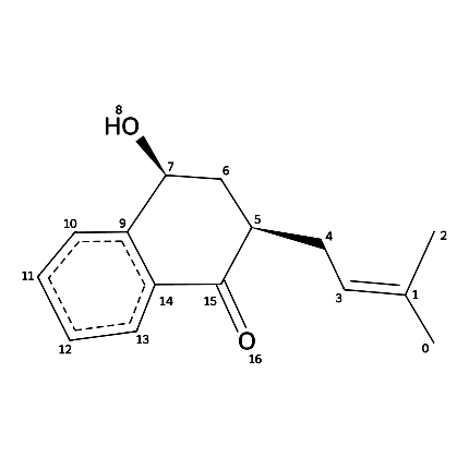 CC(C)=CC[C@@H]1C[C@H](O)c2ccccc2C1=O